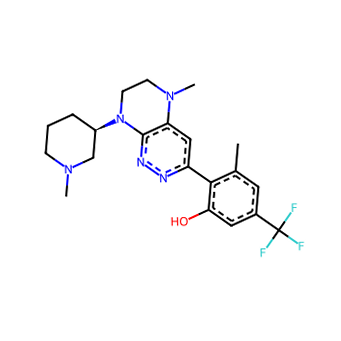 Cc1cc(C(F)(F)F)cc(O)c1-c1cc2c(nn1)N([C@@H]1CCCN(C)C1)CCN2C